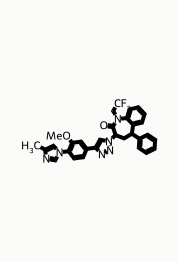 COc1cc(-c2cn(C3CC(c4ccccc4)c4ccccc4N(CC(F)(F)F)C3=O)nn2)ccc1-n1cnc(C)c1